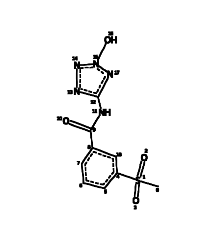 CS(=O)(=O)c1cccc(C(=O)Nc2nnn(O)n2)c1